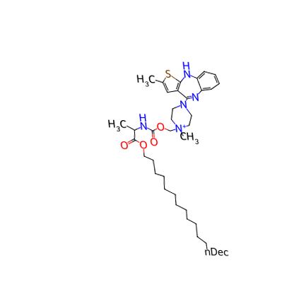 CCCCCCCCCCCCCCCCCCCCCCOC(=O)C(C)NC(=O)OC[N+]1(C)CCN(C2=Nc3ccccc3Nc3sc(C)cc32)CC1